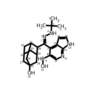 CC(C)(C)N/N=C(\c1c(BO)cnc2[nH]ccc12)C1C2CC3CC1CC(O)(C3)C2